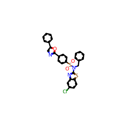 O=S(=O)(c1ccc(-c2ncc(-c3ccccc3)o2)cc1)N(Cc1ccccc1)c1nc2cc(Cl)ccc2s1